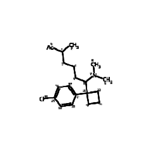 CC(=O)C(C)CCCC(N(C)C)C1(c2ccc(Cl)cc2)CCC1